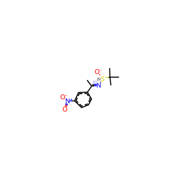 C/C(=N\[S@+]([O-])C(C)(C)C)c1cccc([N+](=O)[O-])c1